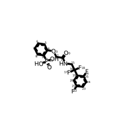 O=C(COc1ccccc1P(=O)(O)O)NCC(F)(F)c1cc(F)ccc1F